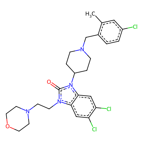 Cc1cc(Cl)ccc1CN1CCC(n2c(=O)n(CCN3CCOCC3)c3cc(Cl)c(Cl)cc32)CC1